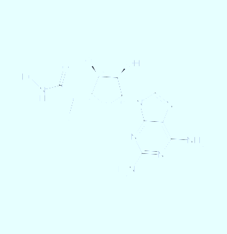 CCNC(=O)C(O)[C@H]1O[C@@H](n2cnc3c(N)nc(N)nc32)[C@H](O)[C@@H]1O